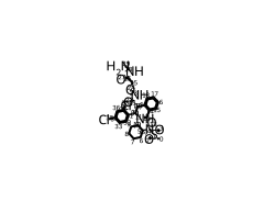 CS(=O)(=O)N[C@H]1CCCC[C@@H]1N1C(=O)c2ccccc2[C@@H](C(=O)NOCC(=O)NN)[C@@H]1c1ccc(Cl)cc1Cl